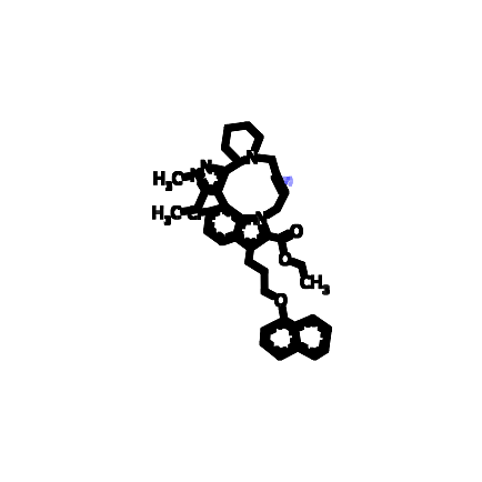 CCOC(=O)c1c(CCCOc2cccc3ccccc23)c2ccc(Cl)c3c2n1C/C=C\CN1CCCCC1c1nn(C)c(CC)c1-3